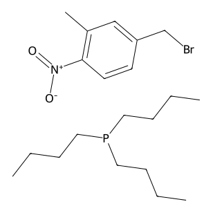 CCCCP(CCCC)CCCC.Cc1cc(CBr)ccc1[N+](=O)[O-]